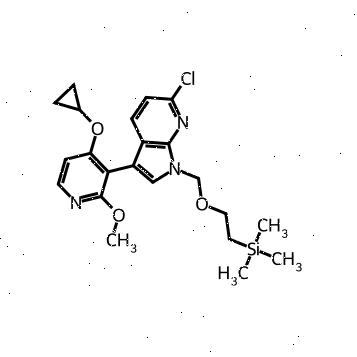 COc1nccc(OC2CC2)c1-c1cn(COCC[Si](C)(C)C)c2nc(Cl)ccc12